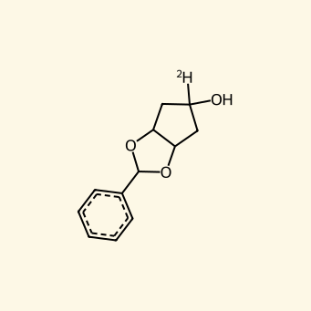 [2H]C1(O)CC2OC(c3ccccc3)OC2C1